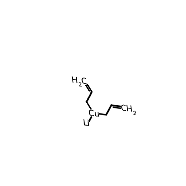 [Li][Cu]([CH2]C=C)[CH2]C=C